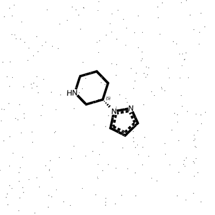 c1cnn([C@H]2CCCNC2)c1